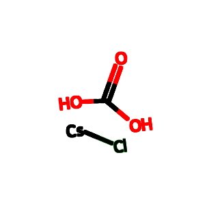 O=C(O)O.[Cl][Cs]